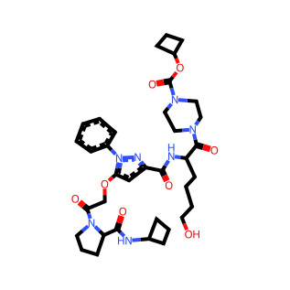 O=C(NC(CCCCO)C(=O)N1CCN(C(=O)OC2CCC2)CC1)c1cc(OCC(=O)N2CCCC2C(=O)NC2CCC2)n(-c2ccccc2)n1